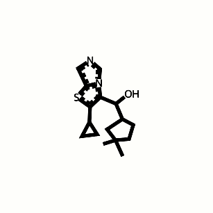 CC1(C)CCC(C(O)c2c(C3CC3)sc3cncn23)C1